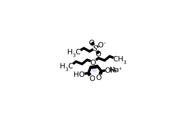 CCCCOCCCC.CCCS(=O)(=O)[O-].O=C(O)/C=C\C(=O)O.[Na+]